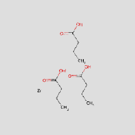 CCCC(=O)O.CCCC(=O)O.CCCC(=O)O.[Zr]